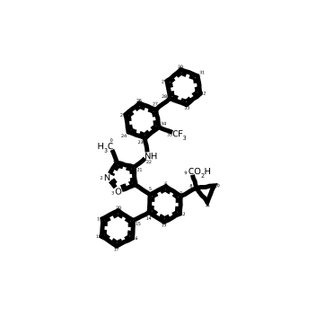 Cc1noc(-c2cc(C3(C(=O)O)CC3)ccc2-c2ccccc2)c1Nc1cccc(-c2ccccc2)c1C(F)(F)F